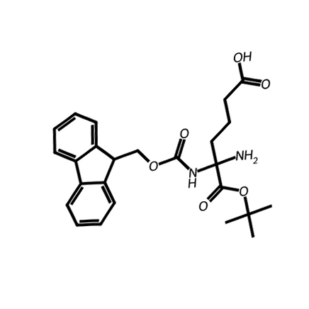 CC(C)(C)OC(=O)C(N)(CCCC(=O)O)NC(=O)OCC1c2ccccc2-c2ccccc21